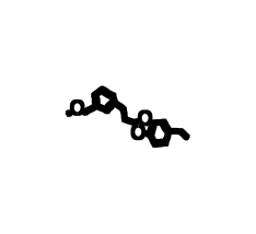 CCc1ccc2c(c1)OC(CCc1cccc(COC)c1)O2